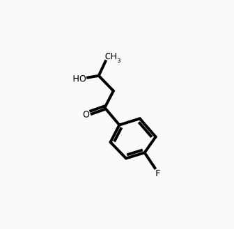 CC(O)CC(=O)c1ccc(F)cc1